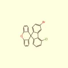 Clc1cccc2c1-c1cc(Br)ccc1C21c2ccccc2Oc2ccccc21